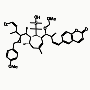 CC/C=C\C(C)[C@H](OCc1ccc(OC)cc1)[C@@H](C)[C@@H]1C(C(C)(C)[Si](C)(C)O)[C@H]([C@@H](OCOC)C(C)/C=C\c2ccc3oc(=O)ccc3c2)C=C(C)C[C@@H]1C